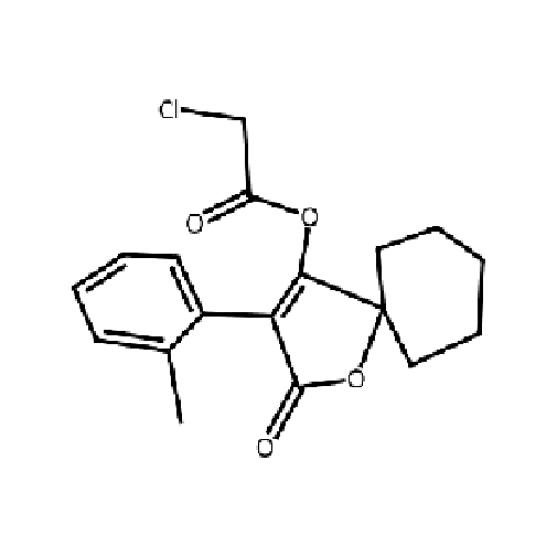 Cc1ccccc1C1=C(OC(=O)CCl)C2(CCCCC2)OC1=O